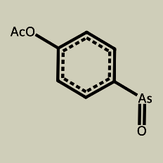 CC(=O)Oc1ccc([As]=O)cc1